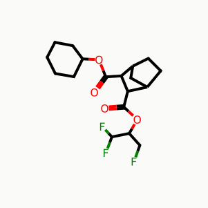 O=C(OC1CCCCC1)C1C2CCC(C2)C1C(=O)OC(CF)C(F)F